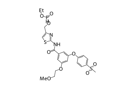 CCO[PH](=O)OCc1csc(NC(=O)c2cc(OCCOC)cc(Oc3ccc(S(C)(=O)=O)cc3)c2)n1